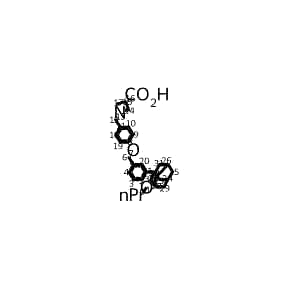 CCCOc1ccc(COc2ccc(CN3CC(C(=O)O)C3)cc2)cc1C12CC3CC(CC(C3)C1)C2